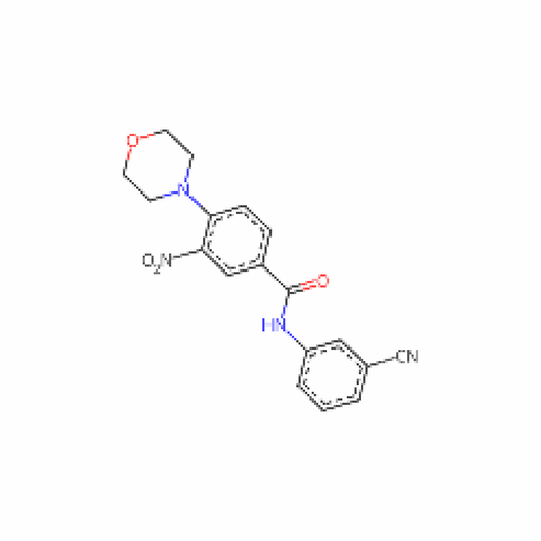 N#Cc1cccc(NC(=O)c2ccc(N3CCOCC3)c([N+](=O)[O-])c2)c1